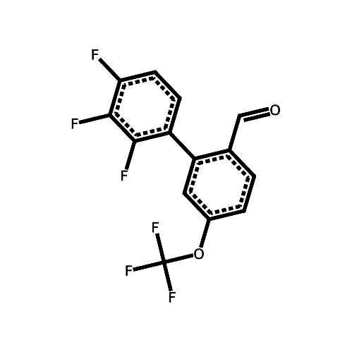 O=Cc1ccc(OC(F)(F)F)cc1-c1ccc(F)c(F)c1F